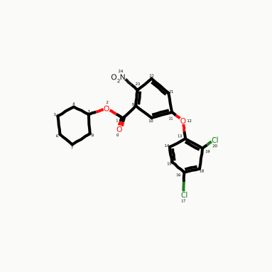 O=C(OC1CCCCC1)c1cc(Oc2ccc(Cl)cc2Cl)ccc1[N+](=O)[O-]